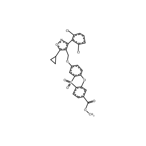 COC(=O)c1ccc2c(c1)Oc1ccc(OCc3c(-c4c(Cl)cccc4Cl)noc3C3CC3)cc1S2(=O)=O